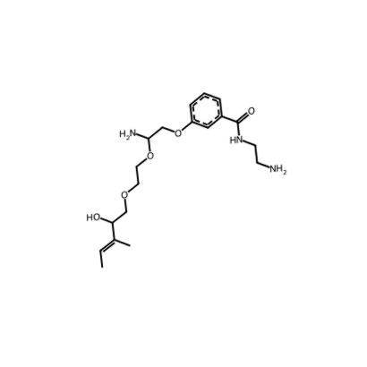 C/C=C(\C)C(O)COCCOC(N)COc1cccc(C(=O)NCCN)c1